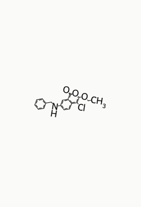 CCOc1oc(=O)c2cc(NCc3ccccc3)ccc2c1Cl